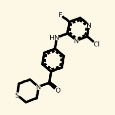 O=C(c1ccc(Nc2nc(Cl)ncc2F)cc1)N1CCSCC1